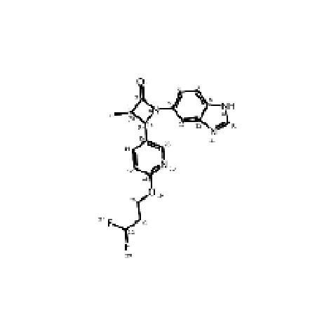 C[C@H]1C(=O)N(c2ccc3[nH]cnc3c2)[C@H]1c1ccc(OCCC(F)F)nc1